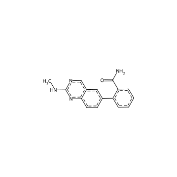 CNc1ncc2cc(-c3ccccc3C(N)=O)ccc2n1